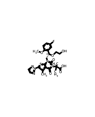 COc1ccc(F)cc1[C@@H](Cn1c(=O)n(C(C)(C)C(=O)O)c(=O)c2c(C)c(-n3nccn3)sc21)OCCO